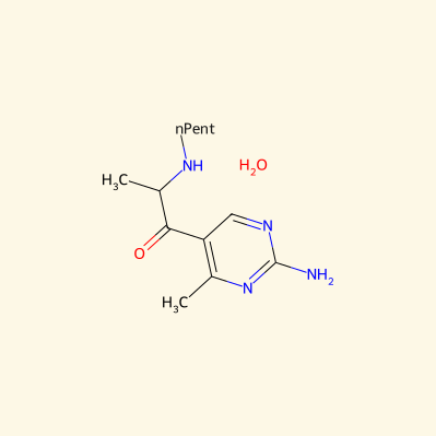 CCCCCNC(C)C(=O)c1cnc(N)nc1C.O